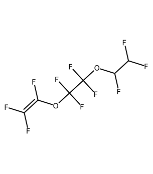 FC(F)=C(F)OC(F)(F)C(F)(F)OC(F)C(F)F